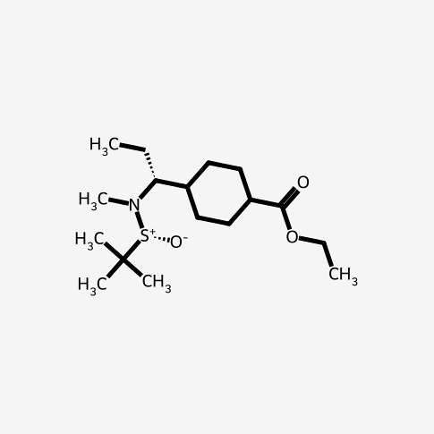 CCOC(=O)C1CCC([C@@H](CC)N(C)[S@+]([O-])C(C)(C)C)CC1